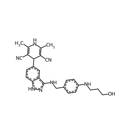 CC1=C(C#N)C(c2ccc3[nH]nc(NCc4ccc(NCCCO)cc4)c3c2)C(C#N)=C(C)N1